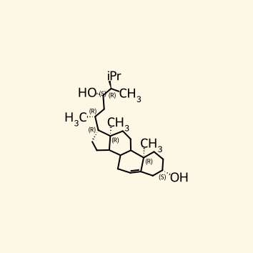 CC(C)[C@@H](C)[C@@H](O)C[C@@H](C)[C@H]1CCC2C3CC=C4C[C@@H](O)CC[C@]4(C)C3CC[C@@]21C